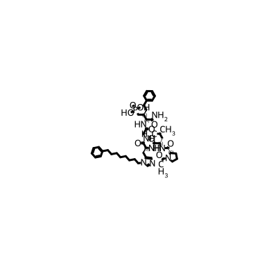 CC(=O)N1CCC[C@H]1C(=O)N[C@@H](CC(C)C)C(=O)N[C@@H](Cc1cncn1CCCCCCCCc1ccccc1)C(=O)NCC(=O)N[C@@H](C(N)=O)[C@H](CCc1ccccc1)CP(=O)(O)O